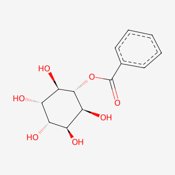 O=C(O[C@H]1[C@H](O)[C@@H](O)[C@@H](O)[C@H](O)[C@@H]1O)c1ccccc1